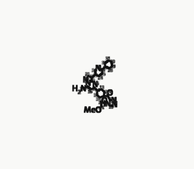 COCCOC1(C(=O)c2nnc[nH]2)CCC(c2cc(N)n3ncc(-c4ccc(-c5ccccc5)nc4)c3n2)CC1